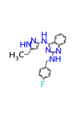 CCc1cc(Nc2nc(NCc3ccc(F)cc3)nc3ccccc23)n[nH]1